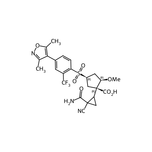 CO[C@@H]1C[C@H](S(=O)(=O)c2ccc(-c3c(C)noc3C)cc2C(F)(F)F)C[C@@]1(C(=O)O)C1CC1(C#N)C(N)=O